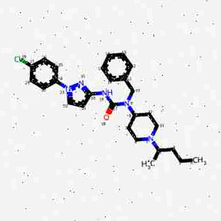 CCCC(C)N1CCC(N(Cc2ccccc2)C(=O)Nc2ccn(-c3ccc(Cl)cc3)n2)CC1